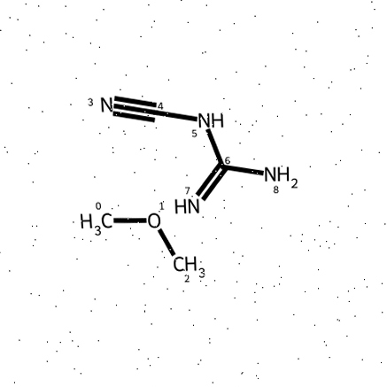 COC.N#CNC(=N)N